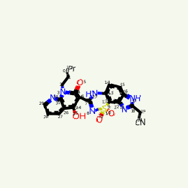 CC(C)CCn1c(=O)c(C2=NS(=O)(=O)c3c(ccc4[nH]c(CC#N)nc34)N2)c(O)c2cccnc21